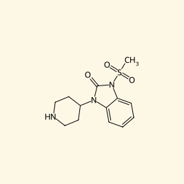 CS(=O)(=O)n1c(=O)n(C2CCNCC2)c2ccccc21